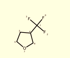 FC(F)(F)C1[CH]COC1